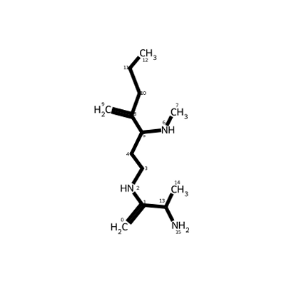 C=C(NCCC(NC)C(=C)CCC)C(C)N